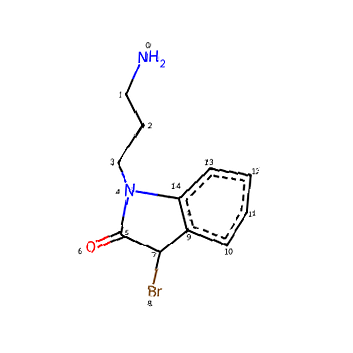 NCCCN1C(=O)C(Br)c2ccccc21